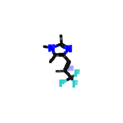 C/C(=C\c1nc(C)n(C)c1C)C(F)(F)F